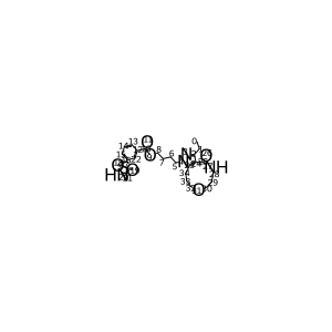 CCc1nn(CCCCOC(=O)c2cccc(S(=O)(=O)NC)c2)c2c1C(=O)NCCCOCCC2